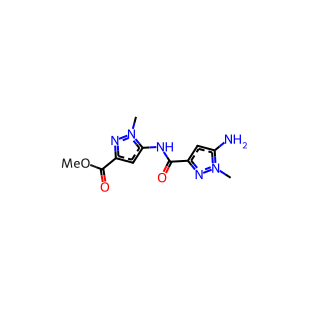 COC(=O)c1cc(NC(=O)c2cc(N)n(C)n2)n(C)n1